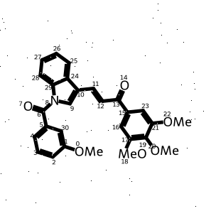 COc1cccc(C(=O)n2cc(C=CC(=O)c3cc(OC)c(OC)c(OC)c3)c3ccccc32)c1